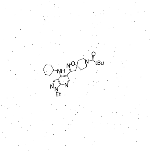 CCn1ncc2c(NC3CCCCC3)c(C3=NOC4(CCN(C(=O)C(C)(C)C)CC4)C3)cnc21